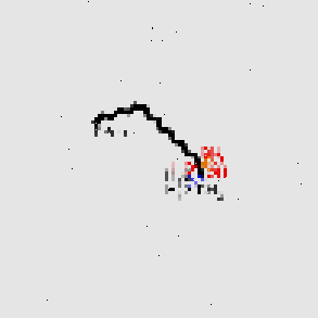 CCCCC/C=C\CCC/C=C\CCCCCCCCC(O)(C[N+](C)(C)C)P(=O)(O)O